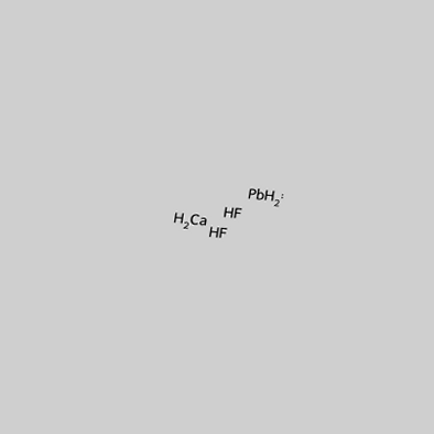 F.F.[CaH2].[PbH2]